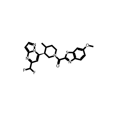 COc1ccc2nc(C(=O)N3CCC(C)[C@H](c4cc(C(F)F)nc5ccnn45)C3)sc2c1